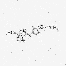 C#CC(C)(C)NC(=O)Sc1ccc(OCCC)cc1